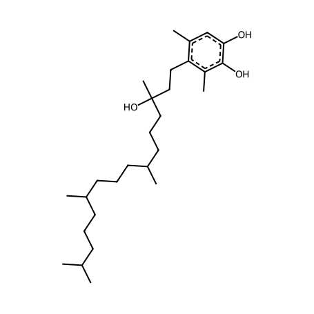 Cc1cc(O)c(O)c(C)c1CCC(C)(O)CCCC(C)CCCC(C)CCCC(C)C